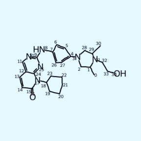 CC1CN(c2ccc(Nc3ncc4ccc(=O)n(C5CCCCC5)c4n3)cc2)CC(C)N1CCO